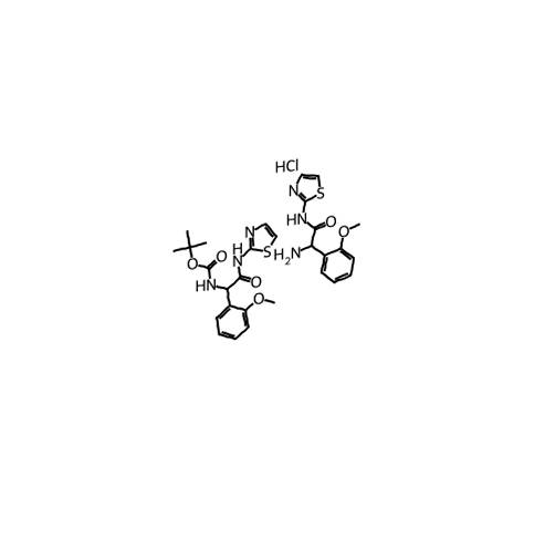 COc1ccccc1C(N)C(=O)Nc1nccs1.COc1ccccc1C(NC(=O)OC(C)(C)C)C(=O)Nc1nccs1.Cl